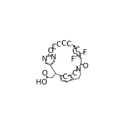 O=C(O)CC1c2cnc(nc2)OCCCCc2cc(F)c(c(F)c2)C(=O)N2CCc3ccc1cc3C2